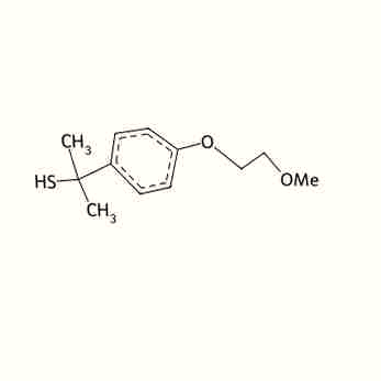 COCCOc1ccc(C(C)(C)S)cc1